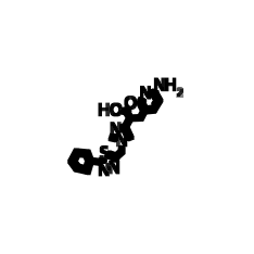 Nc1ccc(CC(C(=O)O)c2cn(Cc3nnc(-c4ccccc4)s3)cn2)cn1